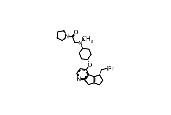 CC(C)C[C@H]1CCC2=C1c1c(O[C@H]3CC[C@H](N(C)CC(=O)N4CCCC4)CC3)ccnc1C2